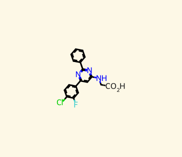 O=C(O)CNc1cc(-c2ccc(Cl)c(F)c2)nc(-c2ccccc2)n1